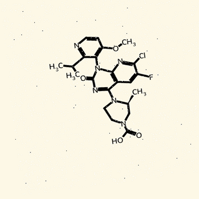 COc1ccnc(C(C)C)c1-n1c(=O)nc(N2CCN(C(=O)O)C[C@@H]2C)c2cc(F)c(Cl)nc21